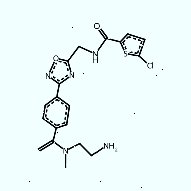 C=C(c1ccc(-c2noc(CNC(=O)c3ccc(Cl)s3)n2)cc1)N(C)CCN